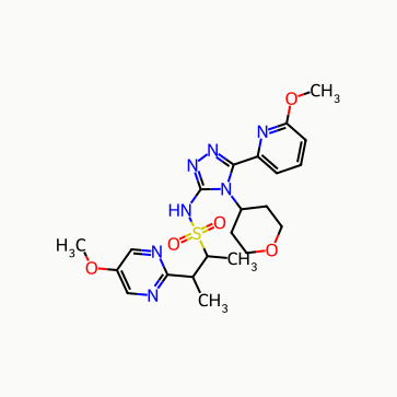 COc1cnc(C(C)C(C)S(=O)(=O)Nc2nnc(-c3cccc(OC)n3)n2C2CCOCC2)nc1